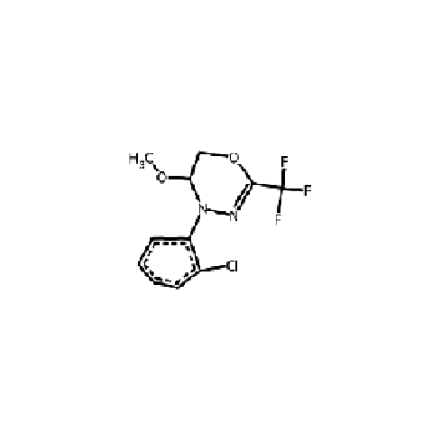 COC1COC(C(F)(F)F)=NN1c1ccccc1Cl